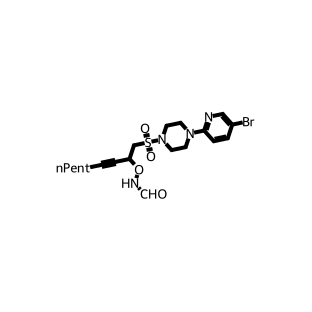 CCCCCC#CC(CS(=O)(=O)N1CCN(c2ccc(Br)cn2)CC1)ONC=O